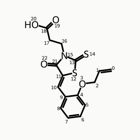 C=CCOc1ccccc1/C=C1\SC(=S)N(CCC(=O)O)C1=O